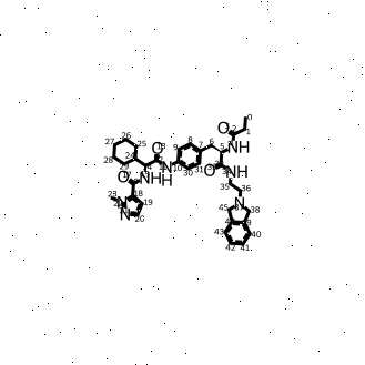 CCC(=O)N[C@H](Cc1ccc(NC(=O)[C@@H](NC(=O)c2ccnn2C)C2CCCCC2)cc1)C(=O)NCCN1Cc2ccccc2C1